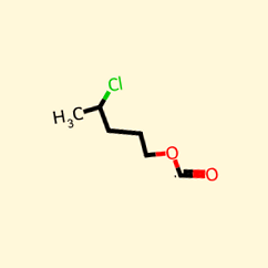 CC(Cl)CCCO[C]=O